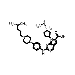 CC(C)CCCN1CCN(c2ccc(Nc3ncc4cc(C(=O)O)n(C5CCCC5)c4n3)nc2)CC1.CNC